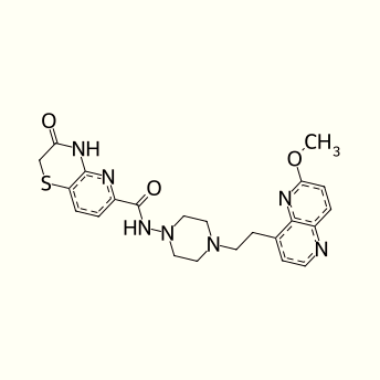 COc1ccc2nccc(CCN3CCN(NC(=O)c4ccc5c(n4)NC(=O)CS5)CC3)c2n1